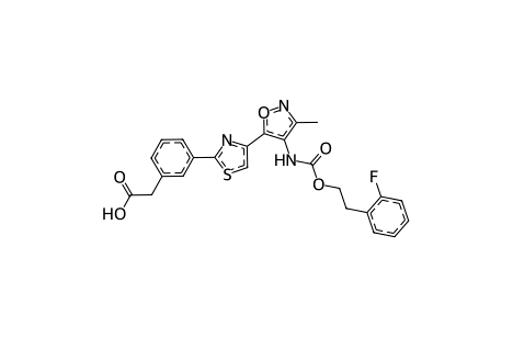 Cc1noc(-c2csc(-c3cccc(CC(=O)O)c3)n2)c1NC(=O)OCCc1ccccc1F